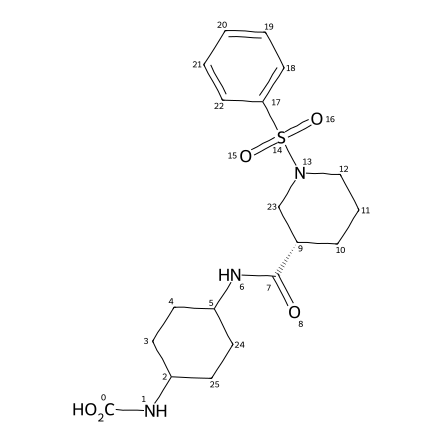 O=C(O)NC1CCC(NC(=O)[C@H]2CCCN(S(=O)(=O)c3ccccc3)C2)CC1